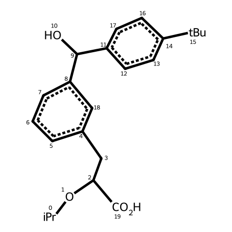 CC(C)OC(Cc1cccc(C(O)c2ccc(C(C)(C)C)cc2)c1)C(=O)O